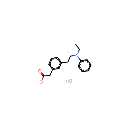 CCN(c1ccccc1)[C@@H](C)Cc1cccc(CC(=O)O)c1.Cl